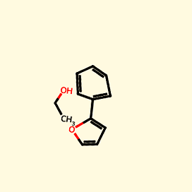 CCO.c1ccc(-c2ccco2)cc1